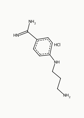 Cl.N=C(N)c1ccc(NCCCN)cc1